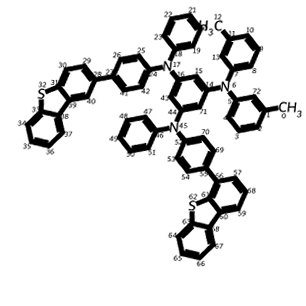 Cc1cccc(N(c2cccc(C)c2)c2cc(N(c3ccccc3)c3ccc(-c4ccc5sc6ccccc6c5c4)cc3)cc(N(c3ccccc3)c3ccc(-c4cccc5c4sc4ccccc45)cc3)c2)c1